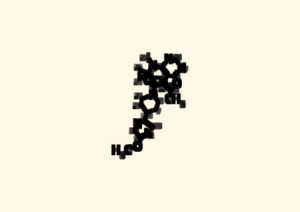 COc1cnc(C2CCN(C(=O)c3c(C)oc4ncnc(N(I)C5(C)CC5)c34)CC2)cn1